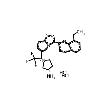 CCc1cccc2ccc(-c3nnc4ccc([C@@H](N5CC[C@H](N)C5)C(F)(F)F)cn34)nc12.Cl.Cl